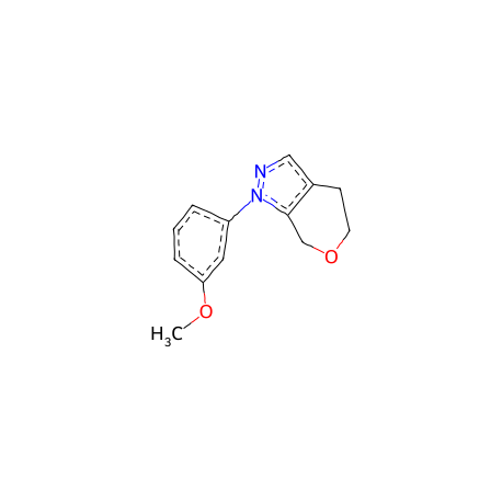 COc1cccc(-n2ncc3c2COCC3)c1